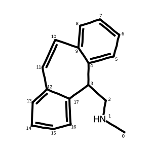 CNCC1c2ccccc2C=Cc2ccccc21